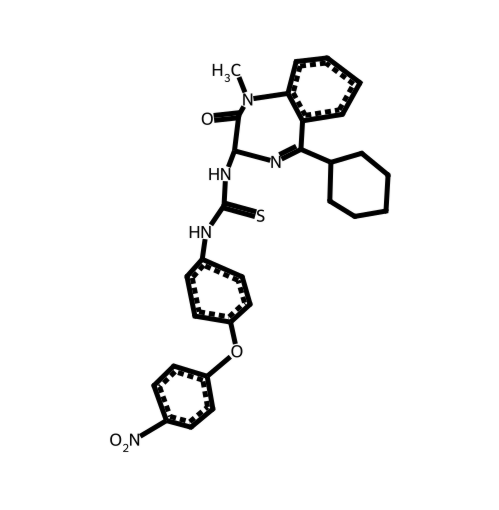 CN1C(=O)C(NC(=S)Nc2ccc(Oc3ccc([N+](=O)[O-])cc3)cc2)N=C(C2CCCCC2)c2ccccc21